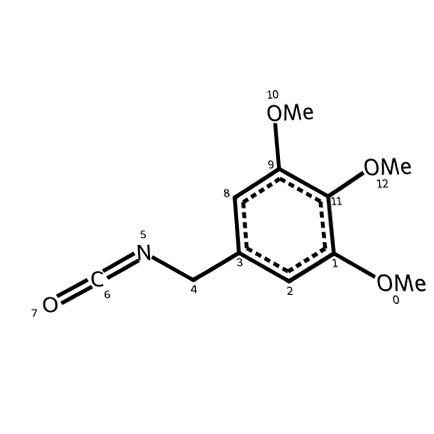 COc1cc(CN=C=O)cc(OC)c1OC